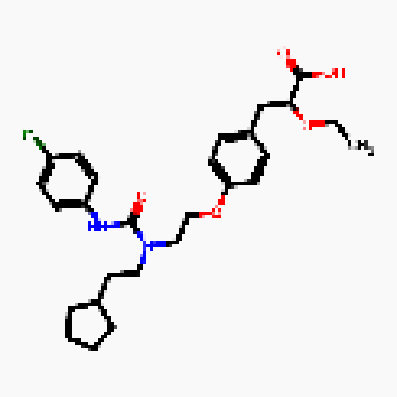 CCOC(Cc1ccc(OCCN(CCC2CCCC2)C(=O)Nc2ccc(Cl)cc2)cc1)C(=O)O